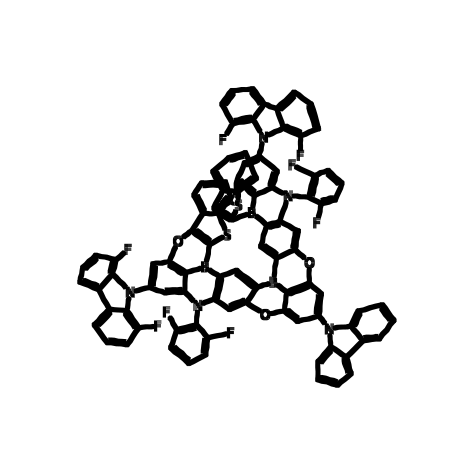 Fc1cccc(F)c1N1c2cc3c(cc2B2c4sc5ccccc5c4Oc4cc(-n5c6c(F)cccc6c6cccc(F)c65)cc1c42)B1c2cc4c(cc2Oc2cc(-n5c6ccccc6c6ccccc65)cc(c21)O3)N(c1c(F)cccc1F)c1cc(-n2c3c(F)cccc3c3cccc(F)c32)cc2c1B4c1sc3ccccc3c1O2